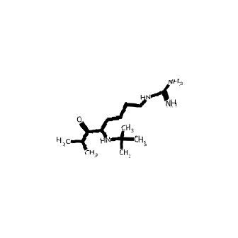 CC(C)C(=O)C(CCCCNC(=N)N)NC(C)(C)C